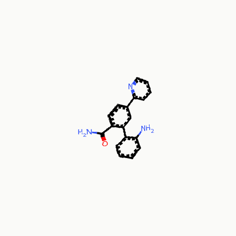 NC(=O)c1ccc(-c2ccccn2)cc1-c1ccccc1N